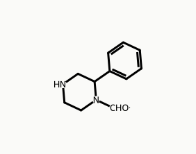 O=[C]N1CCNCC1c1ccccc1